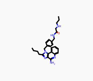 CCCCc1nc2c(N)nc3ccccc3c2n1Cc1ccc(CNC(=O)CNCCC)cc1